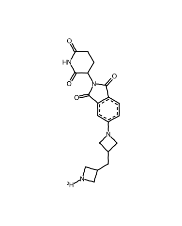 [2H]N1CC(CC2CN(c3ccc4c(c3)C(=O)N(C3CCC(=O)NC3=O)C4=O)C2)C1